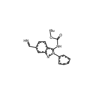 CC(C)(C)OC(=O)Nc1c2ccc(C=N)cc2nn1-c1ccccc1